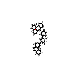 c1ccc(-c2ccccc2N(c2ccccc2)c2ccc3sc4ccc(-c5ccc6ccc7ccccc7c6c5)cc4c3c2)cc1